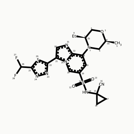 CC[C@H]1CO[C@@H](C)CN1c1cc(S(=O)(=O)NC2(C#N)CC2)cn2c(-c3nnc(C(F)F)s3)cnc12